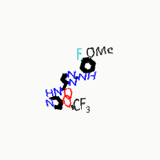 COc1ccc(Nc2nccc(C(=O)Nc3cnccc3OCC(F)(F)F)n2)cc1F